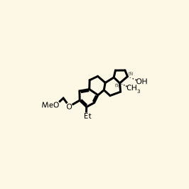 CCc1cc2c(cc1OCOC)CCC1C2CC[C@@]2(C)C1CC[C@@H]2O